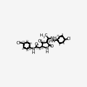 CC(NNc1ccc(Cl)cc1)=C1C(=O)NC(CC(=O)Nc2ccc(Cl)cc2)C1=O